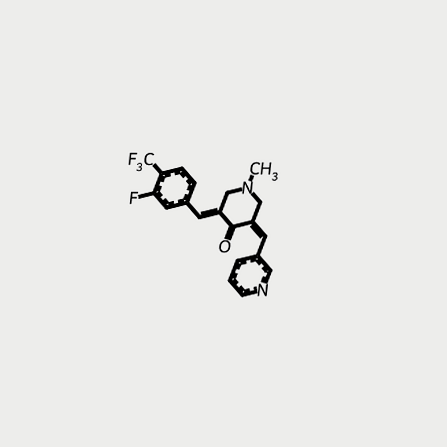 CN1CC(=Cc2cccnc2)C(=O)/C(=C/c2ccc(C(F)(F)F)c(F)c2)C1